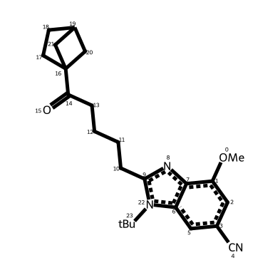 COc1cc(C#N)cc2c1nc(CCCCC(=O)C13CCC(C1)C3)n2C(C)(C)C